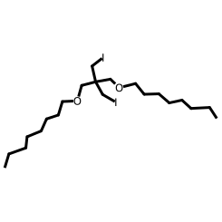 CCCCCCCCOCC(CI)(CI)COCCCCCCCC